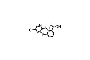 O=C(O)c1cccc(F)c1Nc1ncc(Cl)cn1